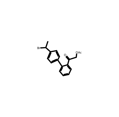 CC(=O)OCC(=O)c1ccccc1-c1ccc(C(C)Br)cc1